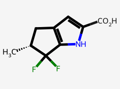 C[C@@H]1Cc2cc(C(=O)O)[nH]c2C1(F)F